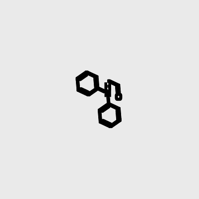 CC=O.c1ccc(Nc2ccccc2)cc1